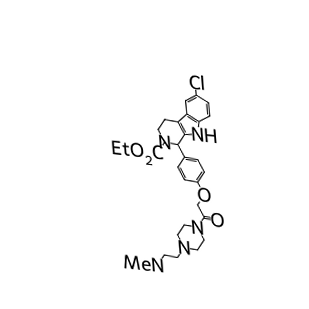 CCOC(=O)N1CCc2c([nH]c3ccc(Cl)cc23)C1c1ccc(OCC(=O)N2CCN(CCNC)CC2)cc1